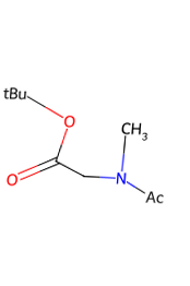 CC(=O)N(C)CC(=O)OC(C)(C)C